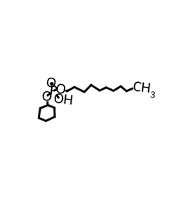 CCCCCCCCCCOP(=O)(O)OC1CCCCC1